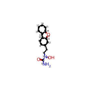 NC(=O)N(O)CCc1ccc2c(c1)oc1ccccc12